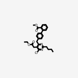 CCCCc1nc(Cl)c(CC(=O)OCC)c(Cc2ccc(-c3ccccc3C(=O)OC)cc2)n1